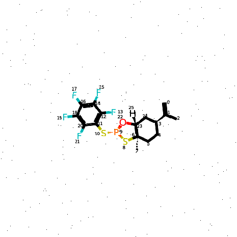 C=C(C)[C@H]1CC[C@@]2(C)S[P@](Sc3c(F)c(F)c(F)c(F)c3F)O[C@@H]2C1